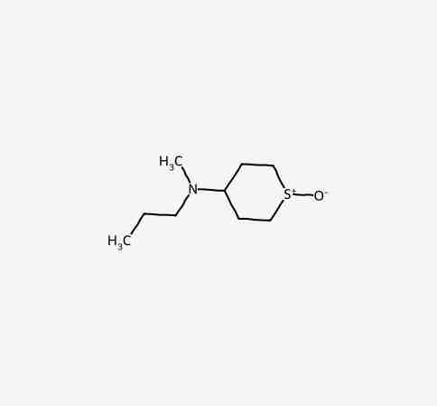 CCCN(C)C1CC[S+]([O-])CC1